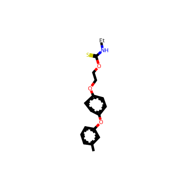 CCNC(=S)OCCOc1ccc(Oc2cccc(C)c2)cc1